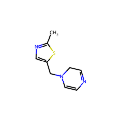 Cc1ncc(CN2C=CN=CC2)s1